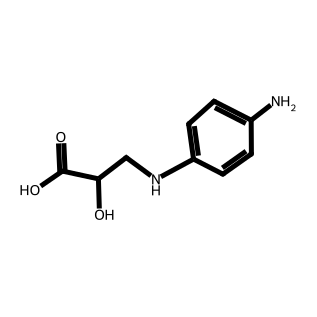 Nc1ccc(NCC(O)C(=O)O)cc1